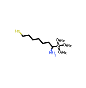 CO[Si](OC)(OC)C(N)CCCCCCS